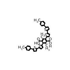 Cc1ccc(-c2ccc(-c3ccc(-c4c(C)c(C(=O)O)c(-c5ccc(-c6ccc(-c7ccc(C)cc7)s6)s5)c(C)c4C(=O)O)s3)s2)cc1